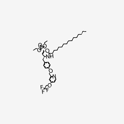 CCCCCCCCCCCCCCCC(=O)N[C@H](/C=C/P(=O)(OCC)OCC)Cc1ccc(OCc2cc(OCC(F)(F)F)ccn2)cc1